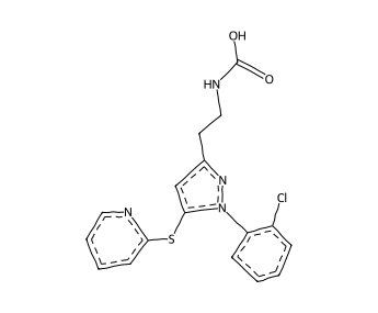 O=C(O)NCCc1cc(Sc2ccccn2)n(-c2ccccc2Cl)n1